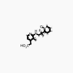 O=C(O)Cc1ccnc(NCC(F)(F)c2cccc[n+]2[O-])c1F